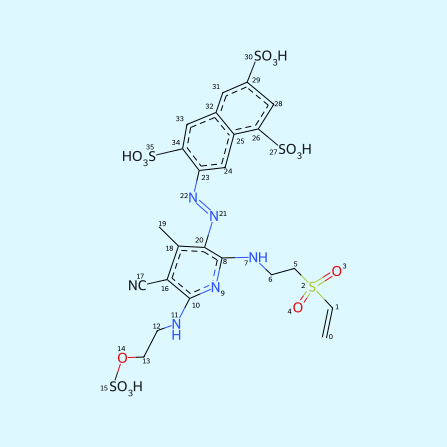 C=CS(=O)(=O)CCNc1nc(NCCOS(=O)(=O)O)c(C#N)c(C)c1/N=N/c1cc2c(S(=O)(=O)O)cc(S(=O)(=O)O)cc2cc1S(=O)(=O)O